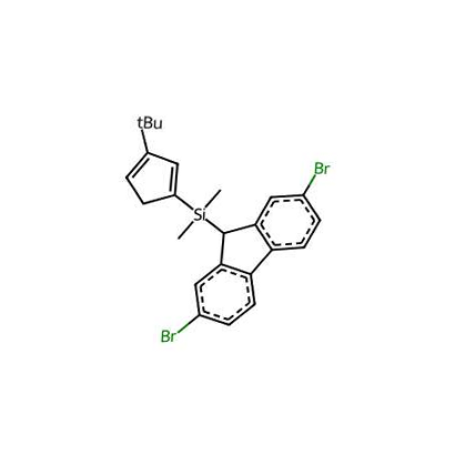 CC(C)(C)C1=CCC([Si](C)(C)C2c3cc(Br)ccc3-c3ccc(Br)cc32)=C1